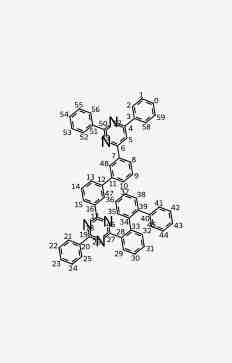 c1ccc(-c2cc(-c3cccc(-c4cccc(-c5nc(-c6ccccc6)nc(-c6ccccc6-c6ccccc6-c6ccccc6)n5)c4)c3)nc(-c3ccccc3)n2)cc1